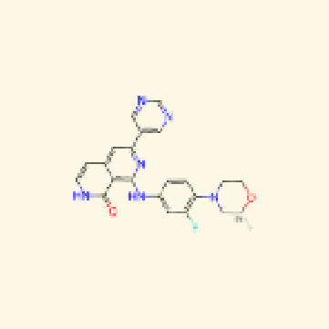 C[C@@H]1CN(c2ccc(Nc3nc(-c4cncnc4)cc4cc[nH]c(=O)c34)cc2F)CCO1